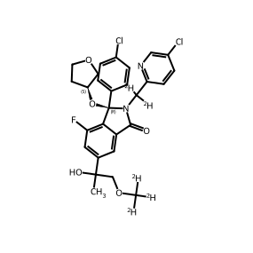 [2H]C([2H])([2H])OCC(C)(O)c1cc(F)c2c(c1)C(=O)N(C([2H])([2H])c1ccc(Cl)cn1)[C@@]2(O[C@H]1CCOC1)c1ccc(Cl)cc1